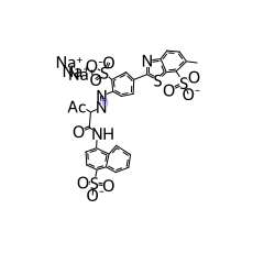 CC(=O)C(/N=N/c1ccc(-c2nc3ccc(C)c(S(=O)(=O)[O-])c3s2)cc1S(=O)(=O)[O-])C(=O)Nc1ccc(S(=O)(=O)[O-])c2ccccc12.[Na+].[Na+].[Na+]